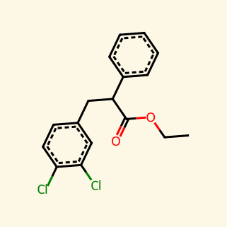 CCOC(=O)C(Cc1ccc(Cl)c(Cl)c1)c1ccccc1